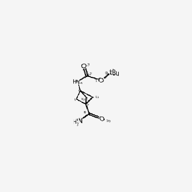 CC(C)(C)OC(=O)NC12CC(C(N)=O)(C1)C2